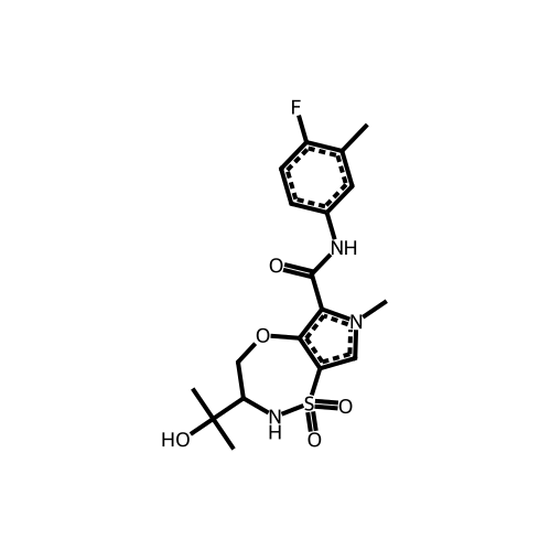 Cc1cc(NC(=O)c2c3c(cn2C)S(=O)(=O)NC(C(C)(C)O)CO3)ccc1F